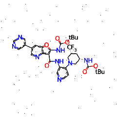 CC(C)(C)OC(=O)Nc1oc2cc(-c3cncnc3)cnc2c1C(=O)Nc1cnccc1N1C[C@@H](NC(=O)OC(C)(C)C)C[C@@H](C(F)(F)F)C1